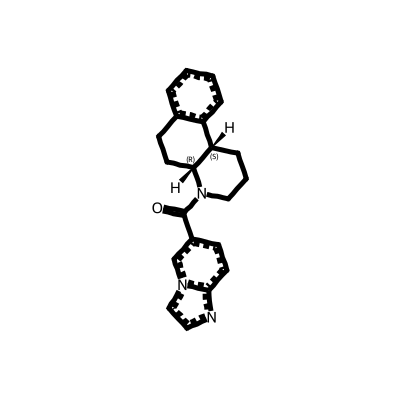 O=C(c1ccc2nccn2c1)N1CCC[C@H]2c3ccccc3CC[C@H]21